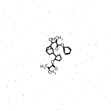 C=C(C)C(=O)OC1CCCC1C1CC2CC(C(O)C(=C)C(=O)Oc3ccccc3)C1O2